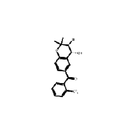 CC1(C)Oc2ccc(C(=O)c3ccccc3C(F)(F)F)cc2[C@@H](O)[C@@H]1Br